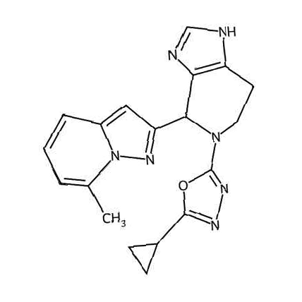 Cc1cccc2cc(C3c4nc[nH]c4CCN3c3nnc(C4CC4)o3)nn12